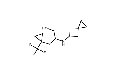 OCC(CC1(C(F)(F)F)CC1)NC1CC2(CC2)C1